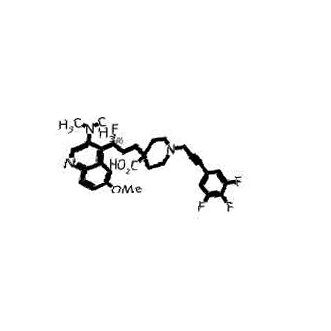 COc1ccc2ncc(N(C)C)c([C@H](F)CCC3(C(=O)O)CCN(CC#Cc4cc(F)c(F)c(F)c4)CC3)c2c1